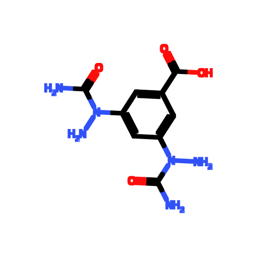 NC(=O)N(N)c1cc(C(=O)O)cc(N(N)C(N)=O)c1